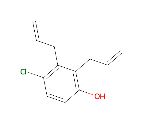 C=CCc1c(O)ccc(Cl)c1CC=C